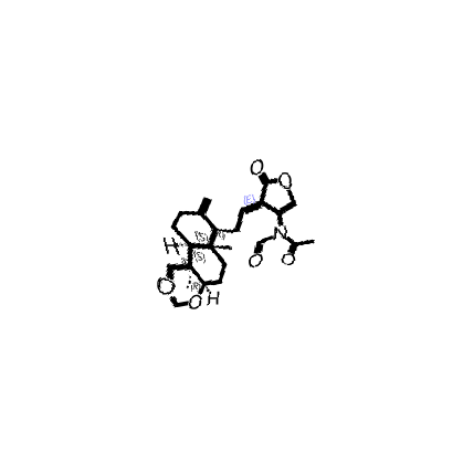 C=C1CC[C@@H]2[C@]3(C)COCO[C@@H]3CC[C@@]2(C)[C@@H]1C/C=C1/C(=O)OCC1N(C=O)C(C)=O